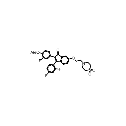 COc1ccc(C2=C(c3ccc(F)cc3F)c3ccc(OCCN4CCS(=O)(=O)CC4)cc3C2=O)cc1F